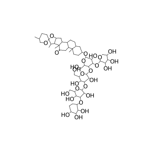 CC1CCC2(OC1)OC1CC3C4CCC5CC(OC6OC(CO)C(OC7OC(CO)C(O)C(OC8OC(CO)C(O)C(OC9CCC(O)C(O)C9O)C8O)C7O)C(OC7OCC(O)C(O)C7O)C6O)CCC5(C)C4CC(=O)C3(C)C1C2C